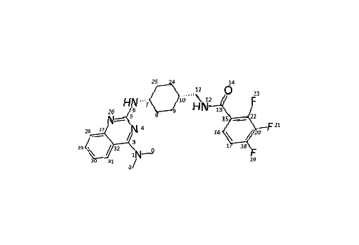 CN(C)c1nc(N[C@H]2CC[C@@H](CNC(=O)c3ccc(F)c(F)c3F)CC2)nc2ccccc12